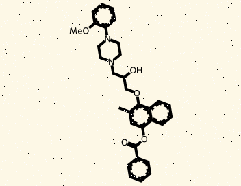 COc1ccccc1N1CCN(CC(O)COc2c(C)cc(OC(=O)c3ccccc3)c3ccccc23)CC1